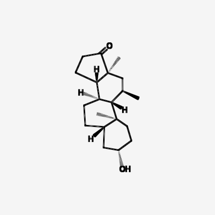 C[C@@H]1C[C@]2(C)C(=O)CC[C@H]2[C@@H]2CC[C@H]3C[C@@H](O)CC[C@]3(C)[C@H]21